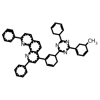 CC1C=CC=C(c2nc(C3C=CC=CC3)nc(C3C=C(c4cc(-c5ccccc5)nc5c4ccc4ccc(-c6c#cccc6)nc45)C=CC3)n2)C1